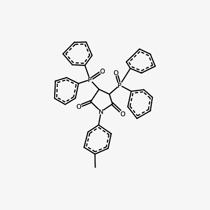 Cc1ccc(N2C(=O)C(P(=O)(c3ccccc3)c3ccccc3)C(P(=O)(c3ccccc3)c3ccccc3)C2=O)cc1